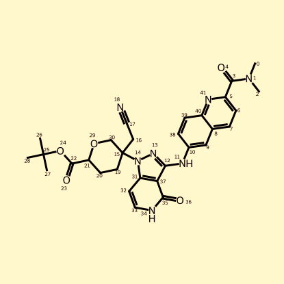 CN(C)C(=O)c1ccc2cc(Nc3nn(C4(CC#N)CCC(C(=O)OC(C)(C)C)OC4)c4cc[nH]c(=O)c34)ccc2n1